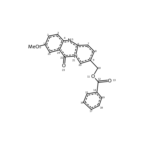 COc1ccc2nc3ccc(COC(=O)c4ccccc4)cn3c(=O)c2c1